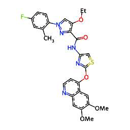 CCOc1cn(-c2ccc(F)cc2C)nc1C(=O)Nc1csc(Oc2ccnc3cc(OC)c(OC)cc23)n1